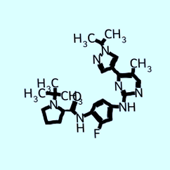 Cc1cnc(Nc2ccc(NC(=O)[C@H]3CCCN3C(C)(C)C)c(F)c2)nc1-c1cnn(C(C)C)c1